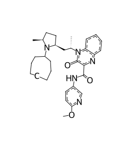 COc1ccc(NC(=O)c2nc3ccccc3n([C@@H](C)C[C@@H]3CC[C@H](C)N3C3CCCCCCC3)c2=O)cn1